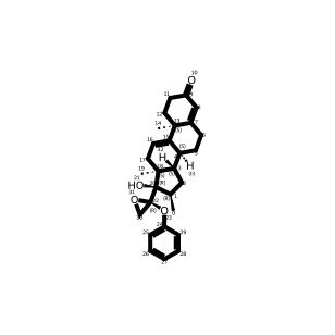 C[C@@H]1C[C@H]2[C@@H]3CCC4=CC(=O)CC[C@]4(C)C3=CC[C@]2(C)[C@@]1(O)[C@]1(Oc2ccccc2)CO1